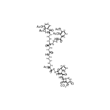 CC(=O)Oc1cccc(C(=O)NCCCCN(CCCNC(=O)c2cccc(OC(C)=O)c2OC(C)=O)C(=O)CCC(=O)NCCCCCN(OC(C)=O)C(=O)CCC(=O)N[C@@H](C(=O)N[C@@H]2C(=O)N3C(C(=O)O)=C(Cl)CCC23)c2ccccc2)c1OC(C)=O